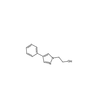 OCCn1cc(-c2c[c]ccc2)cn1